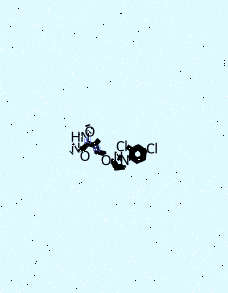 CNC(=O)C(=N/OC)/C(C)=C/COc1ccn(-c2ccc(Cl)cc2Cl)n1